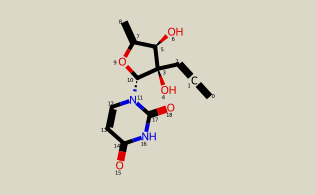 C=C=C[C@@]1(O)[C@H](O)C(=C)O[C@H]1n1ccc(=O)[nH]c1=O